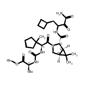 CC(C)(C)OC(=O)[C@@H](NC(=O)N[C@H](C(=O)N1C[C@H]2[C@@H]([C@H]1C(=O)NC(CC1CCC1)C(=O)C(N)=O)C2(C)C)C1(C)CCCC1)C(C)(C)C